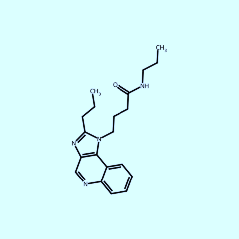 CCCNC(=O)CCCn1c(CCC)nc2cnc3ccccc3c21